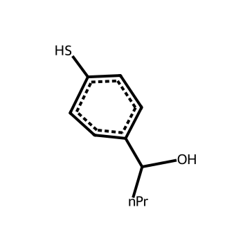 CCCC(O)c1ccc(S)cc1